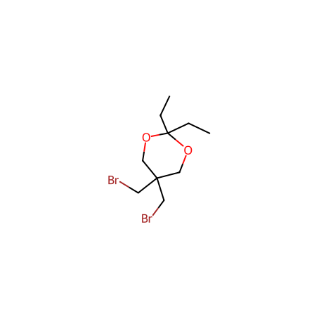 CCC1(CC)OCC(CBr)(CBr)CO1